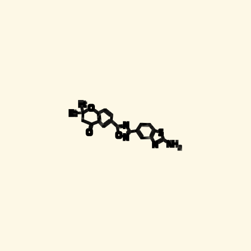 CCC1(CC)CC(=O)c2cc(-c3nc(-c4ccc5sc(N)nc5c4)no3)ccc2O1